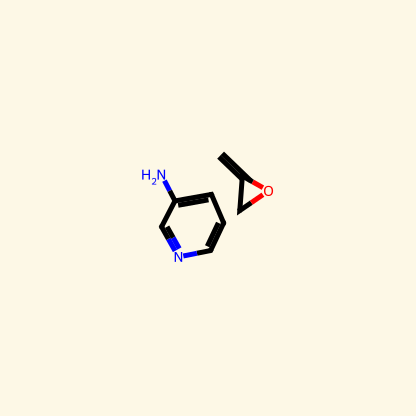 C=C1CO1.Nc1cccnc1